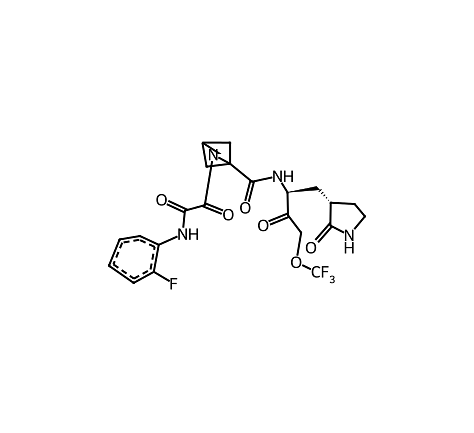 O=C(Nc1ccccc1F)C(=O)N1CC2CC1(C(=O)N[C@@H](C[C@@H]1CCNC1=O)C(=O)COC(F)(F)F)C2